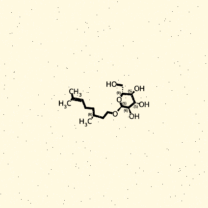 CC(C)=CCC[C@@H](C)CCO[C@H]1O[C@H](CO)[C@@H](O)[C@H](O)[C@H]1O